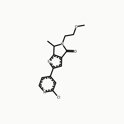 COCCN1C(=O)c2cc(-c3ccnc(Cl)c3)sc2C1C